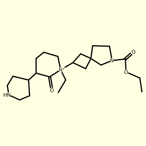 CCOC(=O)N1CCC2(CC([N+]3(CC)CCCC(C4CCNCC4)C3=O)C2)C1